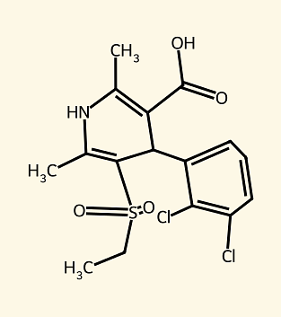 CCS(=O)(=O)C1=C(C)NC(C)=C(C(=O)O)C1c1cccc(Cl)c1Cl